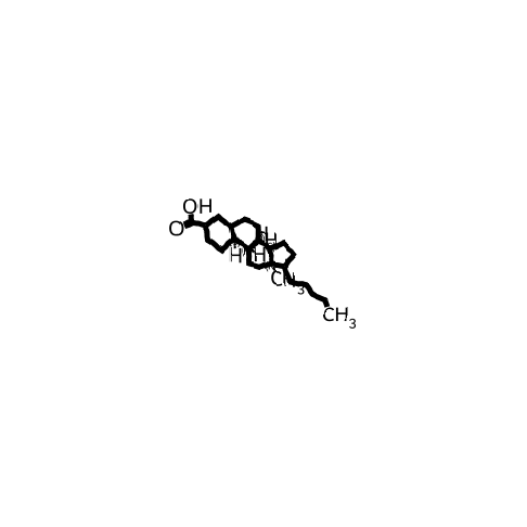 CCCCCC1CC[C@H]2[C@@H]3CCC4CC(C(=O)O)CC[C@@H]4[C@H]3CC[C@]12C